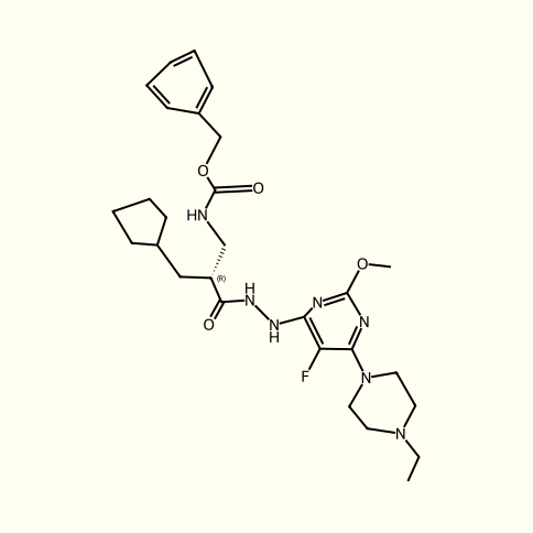 CCN1CCN(c2nc(OC)nc(NNC(=O)[C@@H](CNC(=O)OCc3ccccc3)CC3CCCC3)c2F)CC1